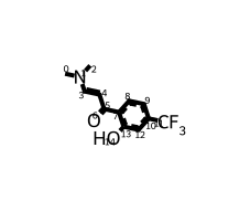 CN(C)C=CC(=O)c1ccc(C(F)(F)F)cc1O